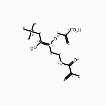 C=C(C)C(=O)O.C=C(C)C(=O)OCC/[P+]([O-])=C(\O)C[N+](C)(C)C